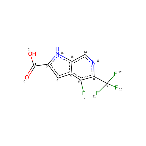 O=C(O)c1cc2c(F)c(C(F)(F)F)ncc2[nH]1